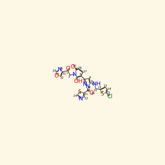 O=C(Cn1c(O)c(-c2cc(NCc3ccc(Cl)s3)n(C(=O)c3cncs3)n2)ccc1=O)c1cocn1